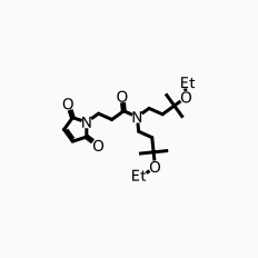 CCOC(C)(C)CCN(CCC(C)(C)OCC)C(=O)CCN1C(=O)C=CC1=O